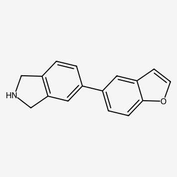 c1cc2cc(-c3ccc4c(c3)CNC4)ccc2o1